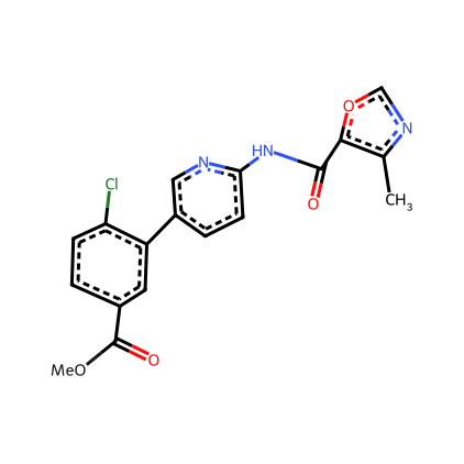 COC(=O)c1ccc(Cl)c(-c2ccc(NC(=O)c3ocnc3C)nc2)c1